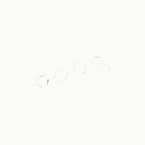 CCCC1CCC(C2CCC(C3CCC(c4ccc(F)cc4)CC3)CC2)O1